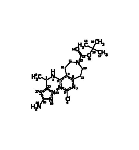 CC(Nc1nc(Cl)nc2c1CCN(C(=O)OC(C)(C)C)CC2)c1nnc(N)s1